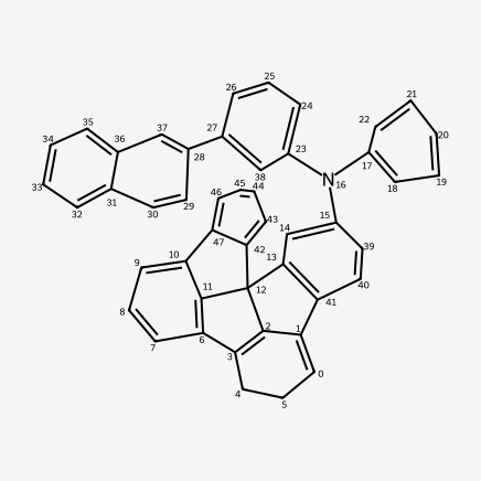 C1=C2C3=C(CC1)c1cccc4c1C3(c1cc(N(c3ccccc3)c3cccc(-c5ccc6ccccc6c5)c3)ccc12)c1ccccc1-4